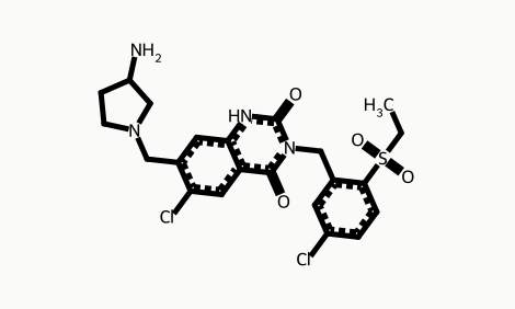 CCS(=O)(=O)c1ccc(Cl)cc1Cn1c(=O)[nH]c2cc(CN3CCC(N)C3)c(Cl)cc2c1=O